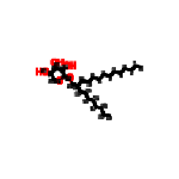 CCCCCCCCCCCCC(CCCCCCCC)COC1OC[C@@H](O)[C@H](O)[C@@H]1O